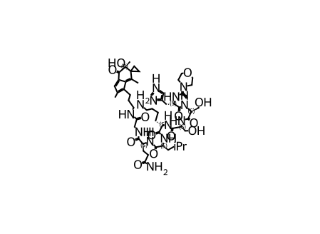 C=C(N[C@@H](Cc1c[nH]cn1)C(=O)N[C@@H](CO)C(=O)N[C@@H](CO)C(=O)N[C@@H](CCCCN)C(=O)N[C@@H](CC(C)C)C(=O)N[C@@H](CCC(N)=O)C(=O)NCC(=O)NCCCC1=C(C)C=C2C(=O)[C@](C)(O)C3(CC3)C(C)=C21)N1CCOCC1